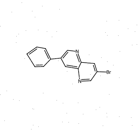 Brc1cnc2cc(-c3ccccc3)cnc2c1